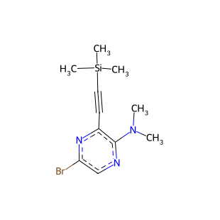 CN(C)c1ncc(Br)nc1C#C[Si](C)(C)C